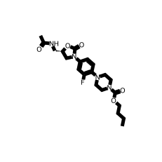 CCCCOC(=O)N1CCN(c2ccc(N3C[C@H](CNC(C)=O)OC3=O)cc2F)CC1